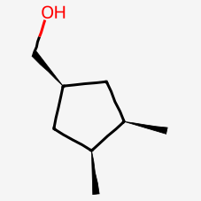 C[C@@H]1C[C@H](CO)C[C@@H]1C